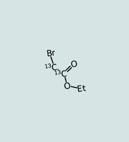 CCO[13C](=O)[13CH2]Br